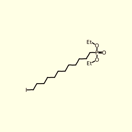 CCOP(=O)(CCCCCCCCCCCCI)OCC